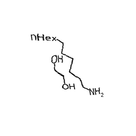 CCCCCCCCCCCCN.OCCO